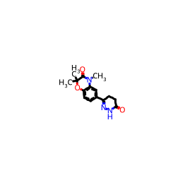 CN1C(=O)C(C)(C)Oc2ccc(C3=NNC(=O)CC3)cc21